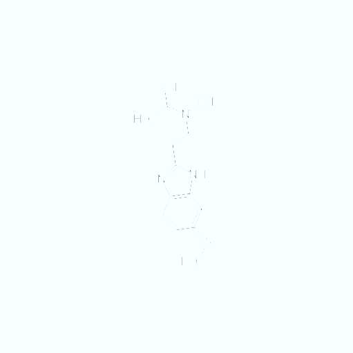 COc1ccc2nc(CCN(C)C(C)C)[nH]c2c1